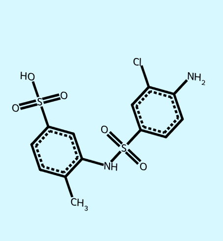 Cc1ccc(S(=O)(=O)O)cc1NS(=O)(=O)c1ccc(N)c(Cl)c1